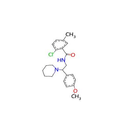 COc1ccc(C(CNC(=O)c2cc(C)ccc2Cl)N2CCCCC2)cc1